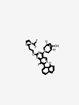 O[C@@H]1C[C@@H]2CN(c3nc(OCCc4nccn4C(F)F)nc4c(F)c(-c5cccc6cccc(Cl)c56)ncc34)C[C@H]1N2